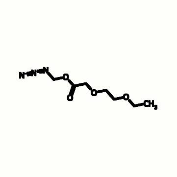 CCOCCOCC(=O)OCN=[N+]=[N-]